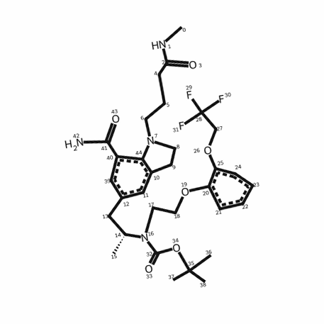 CNC(=O)CCCN1CCc2cc(C[C@@H](C)N(CCOc3ccccc3OCC(F)(F)F)C(=O)OC(C)(C)C)cc(C(N)=O)c21